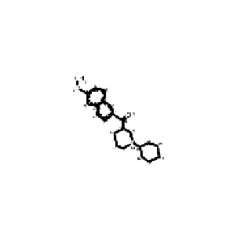 COc1ccc2cc(C(=O)C3CCCN(C4CCCCC4)C3)ccc2c1